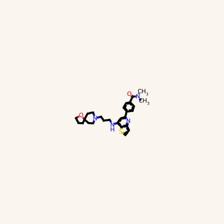 CN(C)C(=O)c1ccc(-c2cc(NCCCN3CCC4(CCCO4)CC3)c3sccc3n2)cc1